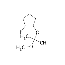 COC(C)(C)OC1CCCC1I